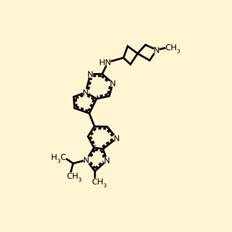 Cc1nc2ncc(-c3ccn4nc(NC5CC6(C5)CN(C)C6)ncc34)cc2n1C(C)C